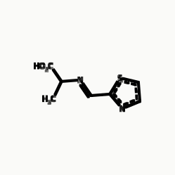 CC(N=Cc1nccs1)C(=O)O